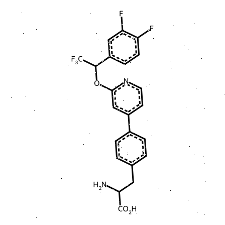 NC(Cc1ccc(-c2ccnc(OC(c3ccc(F)c(F)c3)C(F)(F)F)c2)cc1)C(=O)O